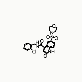 O=C(NCc1ccccc1Cl)c1cc(=O)[nH]c2ccc(S(=O)(=O)N3CCOCC3)cc12